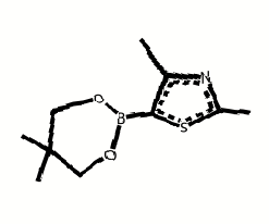 Cc1nc(C)c(B2OCC(C)(C)CO2)s1